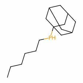 CCCCCCPC12CC3CC(CC(C3)C1)C2